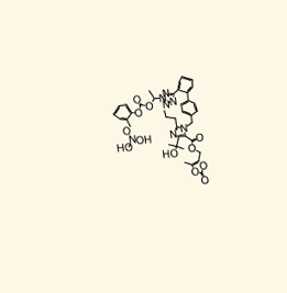 CCCc1nc(C(C)(C)O)c(C(=O)OCc2oc(=O)oc2C)n1Cc1ccc(-c2ccccc2-c2nnn(C(C)OC(=O)Oc3ccccc3CON(O)O)n2)cc1